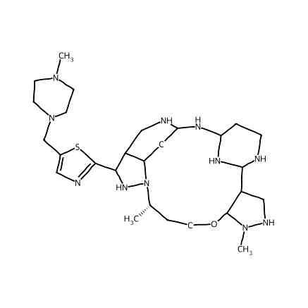 C[C@H]1CCOC2C(CNN2C)C2NCCC(NC3CC4C(CN3)C(c3ncc(CN5CCN(C)CC5)s3)NN41)N2